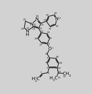 C=CCc1cc(COc2ccc(-c3c(-c4ccncc4)nn4c3NCC4)cc2)ccc1C(C)C